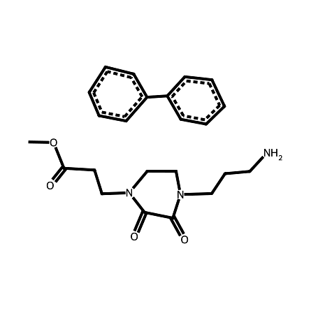 COC(=O)CCN1CCN(CCCN)C(=O)C1=O.c1ccc(-c2ccccc2)cc1